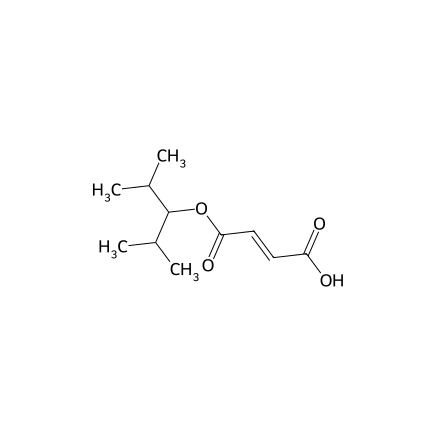 CC(C)C(OC(=O)C=CC(=O)O)C(C)C